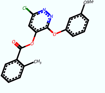 COc1cccc(Oc2nnc(Cl)cc2OC(=O)c2ccccc2C)c1